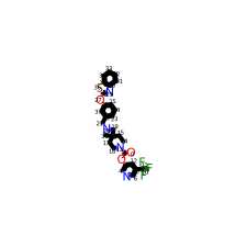 O=C(Oc1cncc(C(F)(F)F)c1)N1CCC2(CC1)CN(Cc1cccc(Oc3nc4ccccc4s3)c1)C2